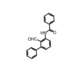 O=Cc1c(NC(=O)c2ccccc2)cccc1-c1ccccc1